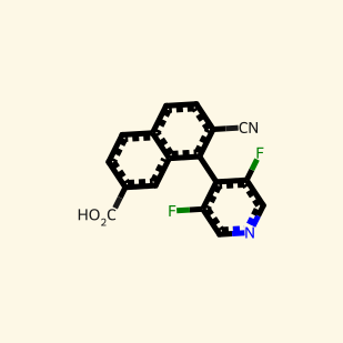 N#Cc1ccc2ccc(C(=O)O)cc2c1-c1c(F)cncc1F